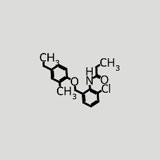 CCC(=O)Nc1c(Cl)cccc1COc1ccc(CC)cc1C